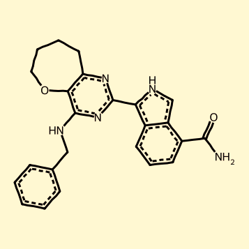 NC(=O)c1cccc2c(-c3nc4c(c(NCc5ccccc5)n3)OCCCC4)[nH]cc12